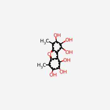 Cc1c(O)c(O)c(O)c2c1oc1c(C)c(O)c(O)c(O)c12